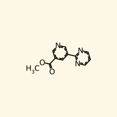 COC(=O)c1cncc(-c2ncccn2)c1